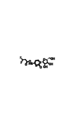 O=C(CC(F)F)ONc1ccn([C@@H]2O[C@H](CO)[C@@H](O)[C@H]2O)c(=O)n1